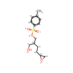 Cc1ccc(S(=O)(=O)OCC(CO)CCC2CO2)cc1